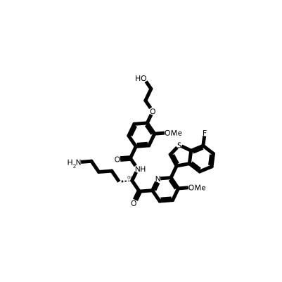 COc1cc(C(=O)N[C@@H](CCCCN)C(=O)c2ccc(OC)c(-c3csc4c(F)cccc34)n2)ccc1OCCO